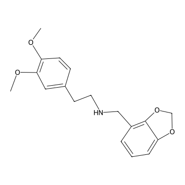 COc1ccc(CCNCc2cccc3c2OCO3)cc1OC